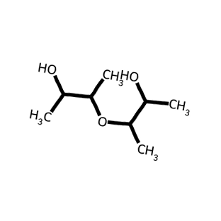 CC(O)C(C)OC(C)C(C)O